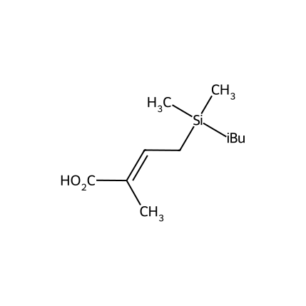 CCC(C)[Si](C)(C)CC=C(C)C(=O)O